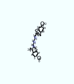 COc1ccc2c(c1)S\C(=C/C=C/C=C/c1nc3ccc(OC)cc3s1)N2C